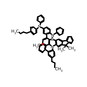 CCCCc1ccc(N(c2ccccc2)c2ccc3c(c2)-c2cc(C)cc4c2B(c2cc5c(cc2N4c2ccc(CCCC)cc2-c2ccccc2)C(C)(C)c2ccccc2-5)N3c2ccccc2)cc1